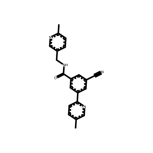 Cc1ccc(-c2cc(C#N)cc(C(=O)NCc3ccc(C)nc3)c2)nc1